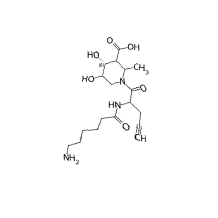 C#CCC(NC(=O)CCCCCN)C(=O)N1CC(O)[C@H](O)C(C(=O)O)C1C